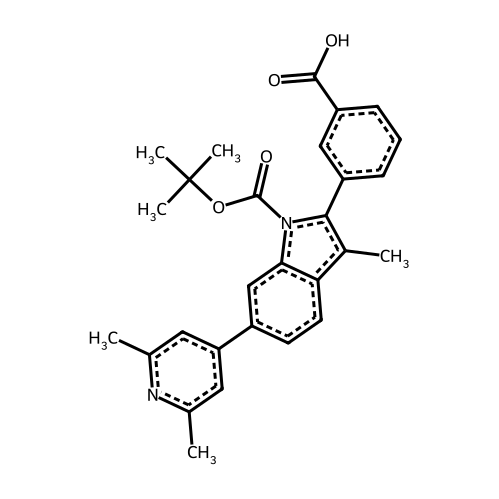 Cc1cc(-c2ccc3c(C)c(-c4cccc(C(=O)O)c4)n(C(=O)OC(C)(C)C)c3c2)cc(C)n1